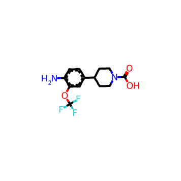 Nc1ccc(C2CCN(C(=O)O)CC2)cc1OC(F)(F)F